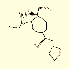 C=C[C@]1(C)CCC(C(=C)CN2CCCC2)CC1C(=C)CCl